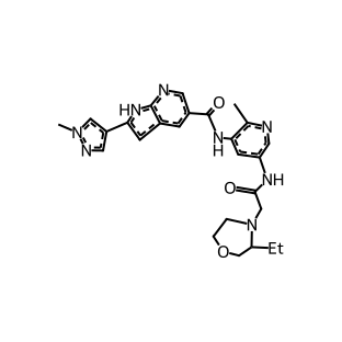 CCC1COCCN1CC(=O)Nc1cnc(C)c(NC(=O)c2cnc3[nH]c(-c4cnn(C)c4)cc3c2)c1